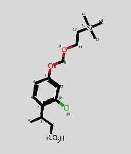 CC(CC(=O)O)c1ccc(OCOCC[Si](C)(C)C)cc1Cl